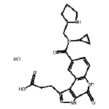 Cl.O=C(O)CCc1c[nH]c2c(=O)[nH]c3ccc(C(=O)N(CC4CCCN4)C4CC4)cc3c12